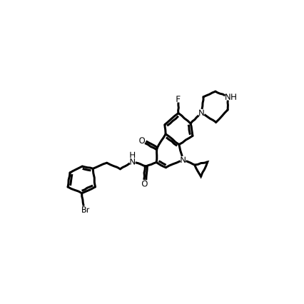 O=C(NCCc1cccc(Br)c1)c1cn(C2CC2)c2cc(N3CCNCC3)c(F)cc2c1=O